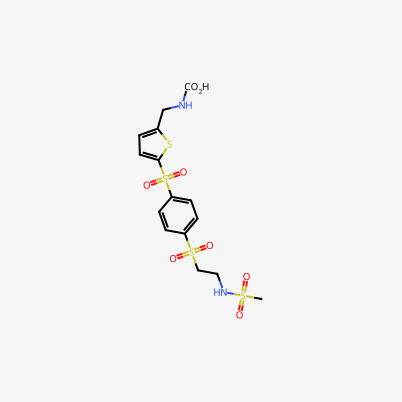 CS(=O)(=O)NCCS(=O)(=O)c1ccc(S(=O)(=O)c2ccc(CNC(=O)O)s2)cc1